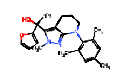 CCCC(O)(c1ccco1)c1c2c(nn1C)N(c1c(C)cc(C)cc1C)CCC2